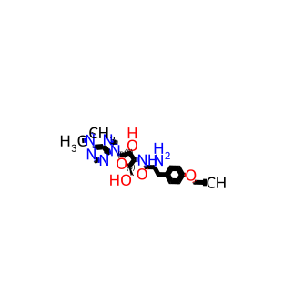 C#CCOc1ccc(CC(N)C(=O)NC2[C@@H](CO)O[C@@H](n3cnc4c(N(C)C)ncnc43)[C@H]2O)cc1